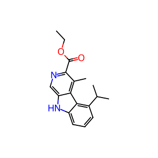 CCOC(=O)c1ncc2[nH]c3cccc(C(C)C)c3c2c1C